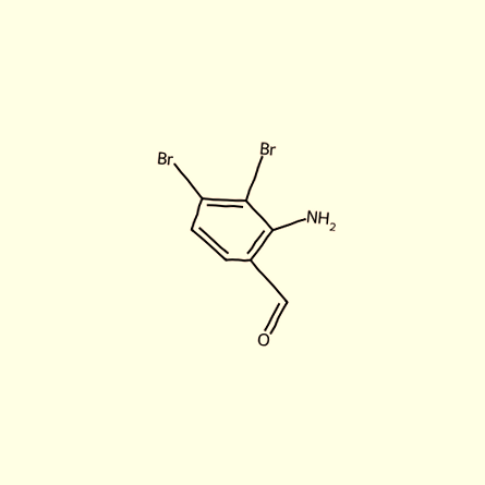 Nc1c(C=O)ccc(Br)c1Br